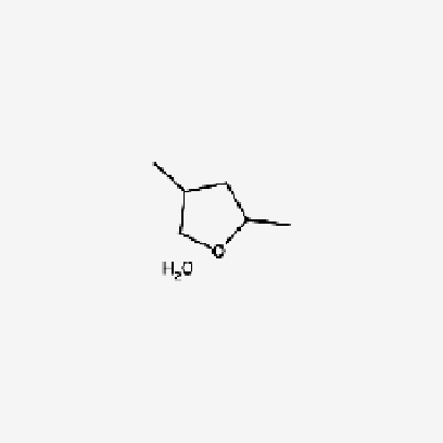 CC1COC(C)C1.O